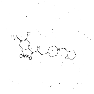 COc1cc(N)c(Cl)cc1C(=O)NCC1CCN(C[C@H]2CCCO2)CC1